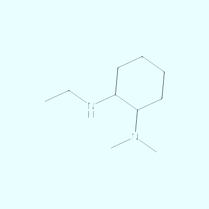 CCNC1CCCCC1N(C)C